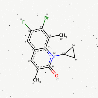 Cc1cc2cc(F)c(Br)c(C)c2n(C2CC2)c1=O